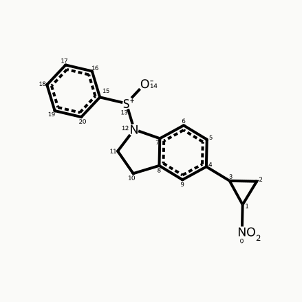 O=[N+]([O-])C1CC1c1ccc2c(c1)CCN2[S+]([O-])c1ccccc1